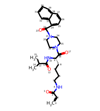 C=CC(=O)NCCCC[C@H](NC(=O)C(C)C)C(=O)N1CCN(C(=O)c2cccc3ccccc23)CC1